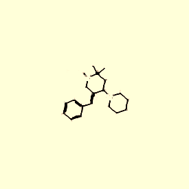 CC1(C)CC(N2CCCCC2)/C(=C/c2ccccc2)CN1C(=O)O